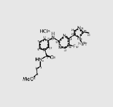 COCCCNC(=O)c1cccc(Nc2ncc(F)c(-c3cnc(C)n3C(C)C)n2)c1.Cl